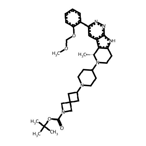 COCOc1ccccc1-c1cc2c3c([nH]c2nn1)CCN(C1CCN(C2CC4(C2)CN(C(=O)OC(C)(C)C)C4)CC1)[C@@H]3C